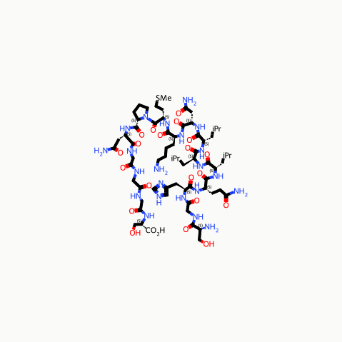 CSCC[C@H](NC(=O)[C@H](CCCCN)NC(=O)[C@H](CC(N)=O)NC(=O)[C@H](CC(C)C)NC(=O)[C@H](CC(C)C)NC(=O)[C@H](CC(C)C)NC(=O)[C@H](CCC(N)=O)NC(=O)[C@H](Cc1c[nH]cn1)NC(=O)CNC(=O)[C@@H](N)CO)C(=O)N1CCC[C@H]1C(=O)N[C@@H](CC(N)=O)C(=O)NCC(=O)NCC(=O)NCC(=O)N[C@@H](CO)C(=O)O